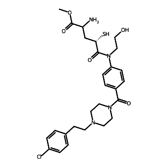 COC(=O)C(N)C[C@H](S)C(=O)N(CCO)c1ccc(C(=O)N2CCN(CCc3ccc(Cl)cc3)CC2)cc1